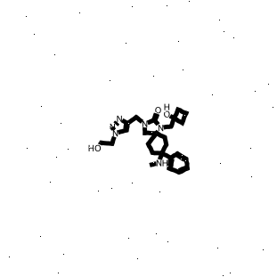 CNC1(c2ccccc2)CCC2(CC1)CN(Cc1cn(CCO)nn1)C(=O)N2CC1(O)CCC1